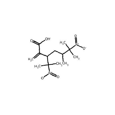 C=C(C(=O)O)C(CC(C)C(C)(C)[N+](=O)[O-])C(C)(C)[N+](=O)[O-]